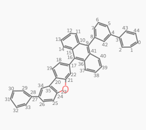 c1ccc(-c2cccc(-c3c4ccccc4c(-c4ccc5c(c4)oc4ccc(-c6ccccc6)cc45)c4ccccc34)c2)cc1